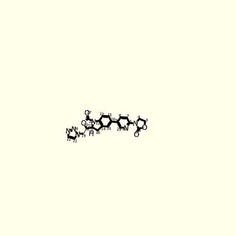 O=C1OCCN1c1ccc(-c2ccc3c(c2)C[C@H]2[C@H](Cn4ccnn4)OC(=O)N32)cn1